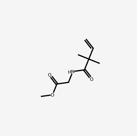 C=CC(C)(C)C(=O)NCC(=O)OC